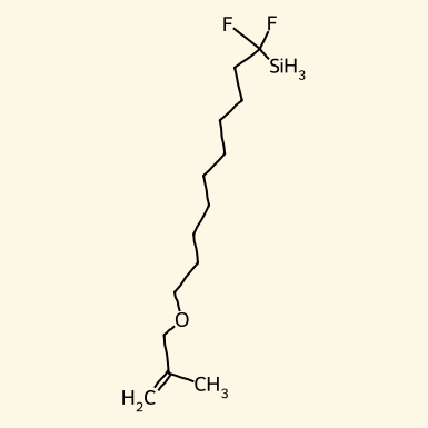 C=C(C)COCCCCCCCCCC(F)(F)[SiH3]